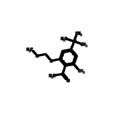 COCOc1cc([N+](C)(C)C)cc(C)c1C(C)=O